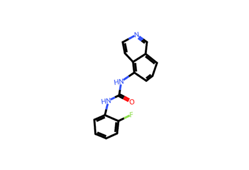 O=C(Nc1ccccc1F)Nc1cccc2cnccc12